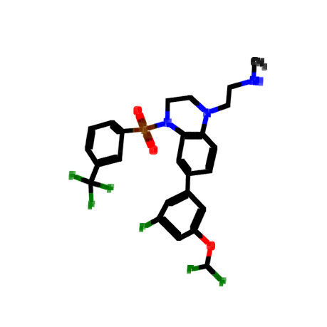 CNCCN1CCN(S(=O)(=O)c2cccc(C(F)(F)F)c2)c2cc(-c3cc(F)cc(OC(F)F)c3)ccc21